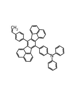 C=Cc1ccc(-c2c3c4cccc5cccc(c3c(-c3ccc(N(c6ccccc6)c6ccccc6)cc3)c3c6cccc7cccc(c23)c76)c54)cc1